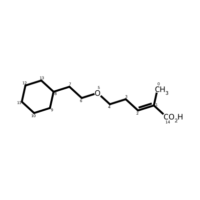 CC(=CCCOCCC1CCCCC1)C(=O)O